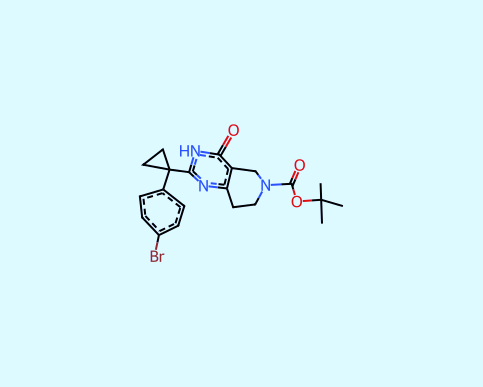 CC(C)(C)OC(=O)N1CCc2nc(C3(c4ccc(Br)cc4)CC3)[nH]c(=O)c2C1